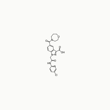 O=C(Cn1nc(C(=O)O)c2cc(C(=O)N3CCCOCC3)ccc21)Nc1ccc(Cl)cn1